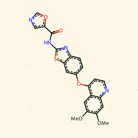 COc1cc2nccc(Oc3ccc4nc(NC(=O)c5cnco5)sc4c3)c2cc1OC